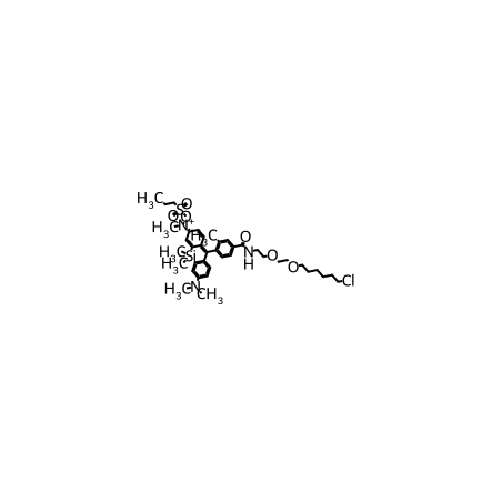 CCCS(=O)(=O)O/[N+](C)=C1\C=CC2=C(c3ccc(C(=O)NCCOCCOCCCCCCCl)cc3C)c3ccc(N(C)C)cc3[Si](C)(C)C2=C1